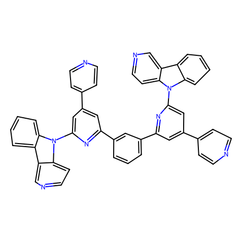 c1cc(-c2cc(-c3ccncc3)cc(-n3c4ccccc4c4cnccc43)n2)cc(-c2cc(-c3ccncc3)cc(-n3c4ccccc4c4cnccc43)n2)c1